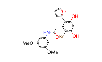 COc1cc(NC(=O)Cc2c(Br)c(O)cc(O)c2-c2ccco2)cc(OC)c1